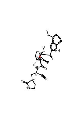 COc1cccc2[nH]c(C(=O)N3[C@@H]4CC[C@H]([C@H]3C(=O)N[C@@H](C#N)C[C@H]3CCNC3=O)C(F)(F)C4)cc12